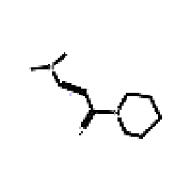 CN(C)/C=C/C(=S)N1CCCCC1